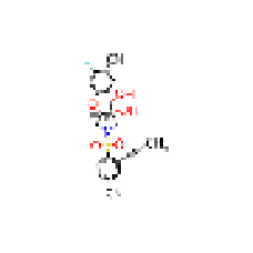 CC#Cc1cc(C#N)ccc1S(=O)(=O)N1C[C@H](Oc2ccc(C#N)c(F)c2)[C@](O)(CO)C1